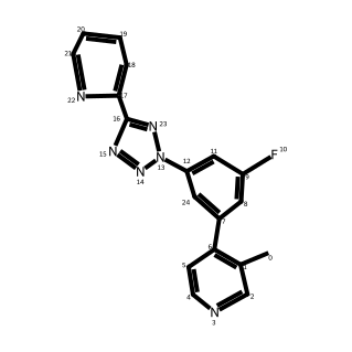 Cc1cnccc1-c1cc(F)cc(-n2nnc(-c3ccccn3)n2)c1